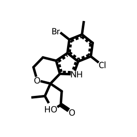 Cc1cc(Cl)c2[nH]c3c(c2c1Br)CCOC3(CC(=O)O)C(C)C